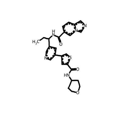 CCC(NC(=O)c1ccc2cncn2c1)c1cncc(-c2csc(C(=O)NC3CCOCC3)c2)c1